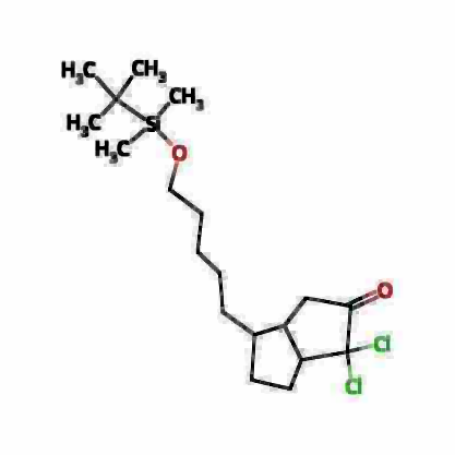 CC(C)(C)[Si](C)(C)OCCCCCC1CCC2C1CC(=O)C2(Cl)Cl